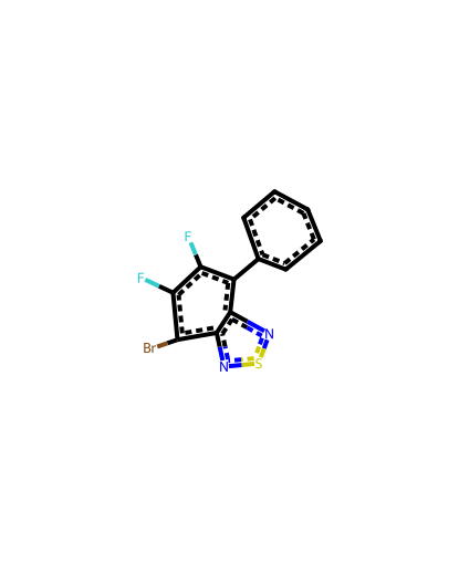 Fc1c(F)c(-c2ccccc2)c2nsnc2c1Br